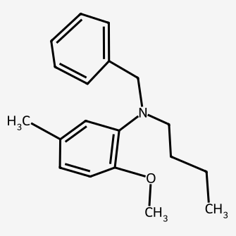 CCCCN(Cc1ccccc1)c1cc(C)ccc1OC